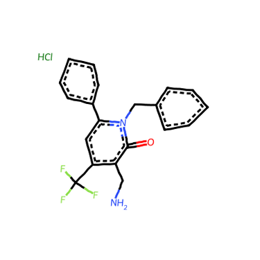 Cl.NCc1c(C(F)(F)F)cc(-c2ccccc2)n(Cc2ccccc2)c1=O